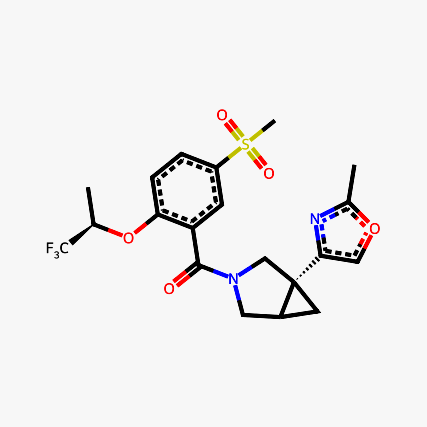 Cc1nc([C@]23CC2CN(C(=O)c2cc(S(C)(=O)=O)ccc2O[C@H](C)C(F)(F)F)C3)co1